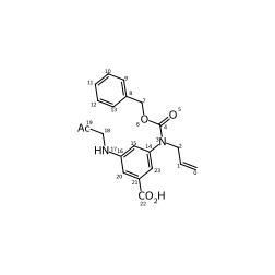 C=CCN(C(=O)OCc1ccccc1)c1cc(NCC(C)=O)cc(C(=O)O)c1